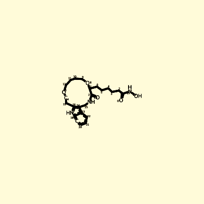 O=C(CCCCCC1OCCCCOCCc2[nH]c3ccccc3c2CNC1=O)NO